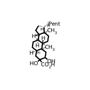 CCC[C@@H](C)[C@H]1CC[C@H]2[C@@H]3CC[C@@H]4CC(O)(C(=O)O)C(O)C[C@]4(C)[C@H]3CC[C@]12C